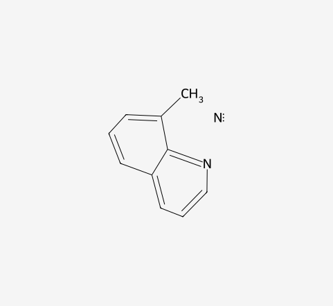 Cc1cccc2cccnc12.[N]